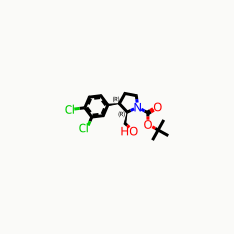 CC(C)(C)OC(=O)N1CC[C@H](c2ccc(Cl)c(Cl)c2)[C@@H]1CO